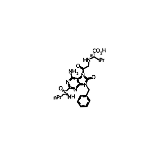 CCCS(=N)(=O)c1nc(N)c2c(n1)n(Cc1ccccc1)c(=O)n2C(=O)CN[C@H](C(=O)O)C(C)C